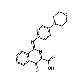 O=C(O)C1=NC(=Nc2ccc(N3CCOCC3)cc2)c2ccccc2C1=O